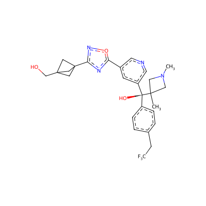 CN1CC(C)([C@](O)(c2ccc(CC(F)(F)F)cc2)c2cncc(-c3nc(C45CC(CO)(C4)C5)no3)c2)C1